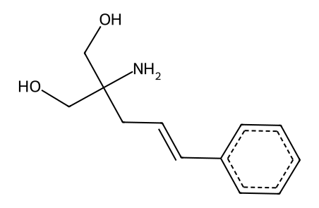 NC(CO)(CO)CC=Cc1ccccc1